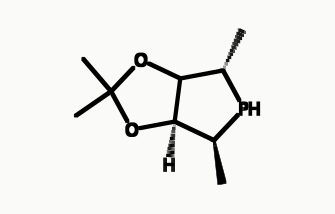 C[C@@H]1P[C@@H](C)[C@H]2OC(C)(C)OC12